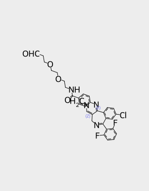 C=N/C=C1/CN=C(c2c(F)cccc2F)c2cc(Cl)ccc2/C1=N/c1ccc(C(=O)NCCOCCOCCC=O)cc1